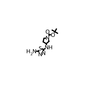 CC(C)(C)OC(=O)N1CCC(Nc2nnc(N)s2)C1